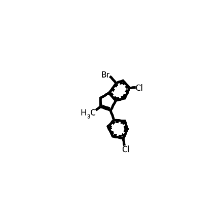 CC1=C(c2ccc(Cl)cc2)c2cc(Cl)cc(Br)c2C1